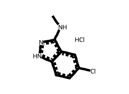 CNc1n[nH]c2ccc(Cl)cc12.Cl